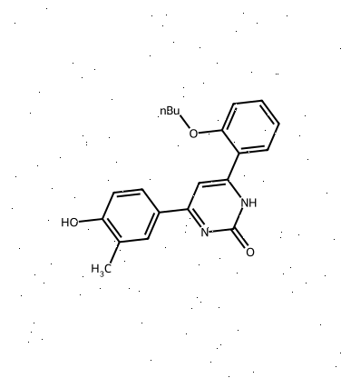 CCCCOc1ccccc1-c1cc(-c2ccc(O)c(C)c2)nc(=O)[nH]1